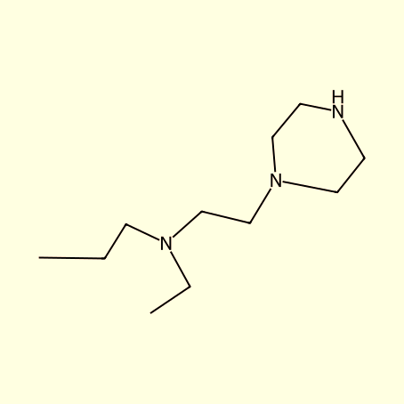 CCCN(CC)CCN1CCNCC1